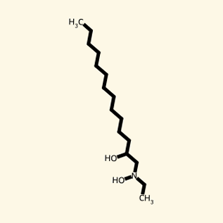 CCCCCCCCCCCCC(O)CN(O)CC